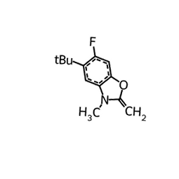 C=C1Oc2cc(F)c(C(C)(C)C)cc2N1C